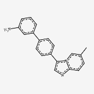 Cc1ccc2ncc(-c3ccc(-c4cccc(N)c4)cc3)n2c1